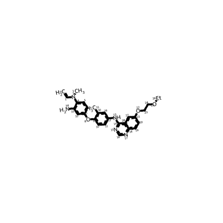 C=CN(C)c1ccc(Oc2ccc(Nc3ncnc4ccc(OCCOCC)cc34)cc2C)cc1N